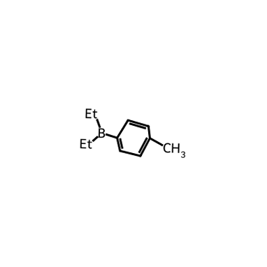 CCB(CC)c1ccc(C)cc1